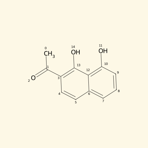 CC(=O)c1ccc2cccc(O)c2c1O